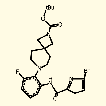 CC(C)(C)OC(=O)N1CC2(CCN(c3c(F)cccc3NC(=O)C3=NC(Br)=CC3)CC2)C1